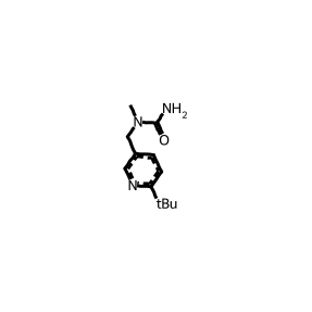 CN(Cc1ccc(C(C)(C)C)nc1)C(N)=O